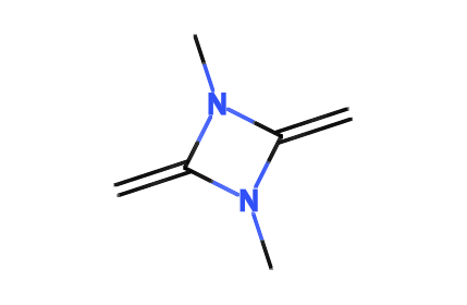 C=c1n(C)c(=C)n1C